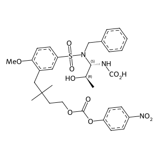 COc1ccc(S(=O)(=O)N(Cc2ccccc2)[C@H](NC(=O)O)[C@@H](C)O)cc1CC(C)(C)CCOC(=O)Oc1ccc([N+](=O)[O-])cc1